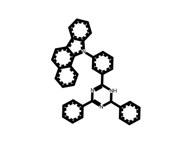 c1ccc(C2=NC(c3ccccc3)NC(c3cccc(-n4c5ccccc5c5ccc6ccccc6c54)c3)=N2)cc1